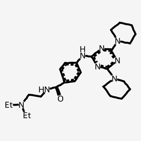 CCN(CC)CCNC(=O)c1ccc(Nc2nc(N3CCCCC3)nc(N3CCCCC3)n2)cc1